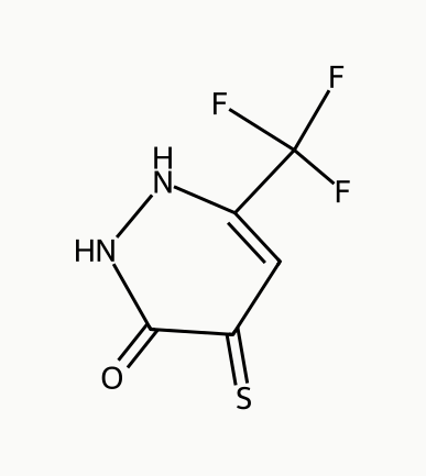 O=c1[nH][nH]c(C(F)(F)F)cc1=S